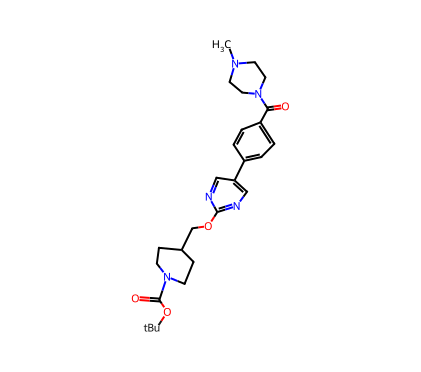 CN1CCN(C(=O)c2ccc(-c3cnc(OCC4CCN(C(=O)OC(C)(C)C)CC4)nc3)cc2)CC1